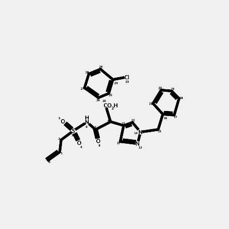 C=CCS(=O)(=O)NC(=O)C(C(=O)O)c1cnn(Cc2ccccc2)c1.Clc1ccccc1